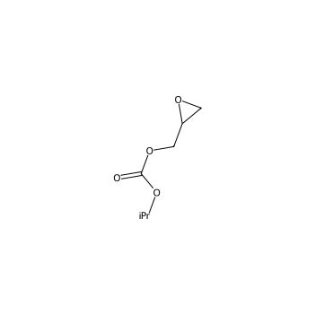 CC(C)OC(=O)OCC1CO1